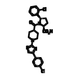 O=C(O)[C@@H]1CC[C@H](c2ccccc2Cl)N1C(=O)C1CCN(c2nc(-c3ccc(Cl)cc3)cs2)CC1